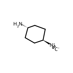 [C-]#[N+][C@H]1CC[C@H](N)CC1